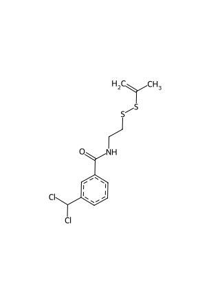 C=C(C)SSCCNC(=O)c1cccc(C(Cl)Cl)c1